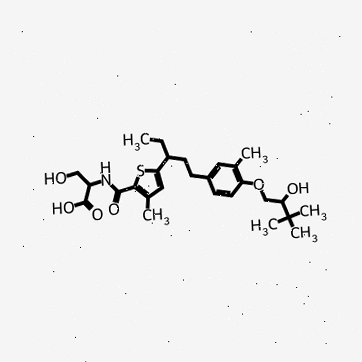 CCC(CCc1ccc(OCC(O)C(C)(C)C)c(C)c1)c1cc(C)c(C(=O)NC(CO)C(=O)O)s1